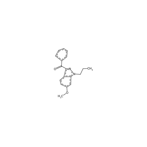 CCCn1nc(C(=O)c2ccccc2)c2ccc(OC)cc21